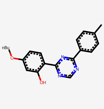 CCCCOc1ccc(-c2ncnc(-c3ccc(C)cc3)n2)c(O)c1